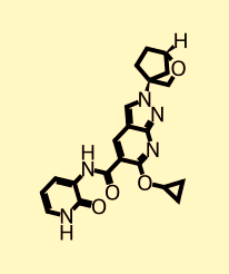 O=C(Nc1ccc[nH]c1=O)c1cc2cn([C@@]34CC[C@@H](C3)OC4)nc2nc1OC1CC1